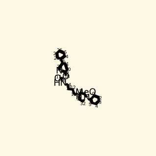 COc1ccccc1N1CCN(CCCCNC(=O)Oc2ccc(-c3ccccc3)cn2)CC1